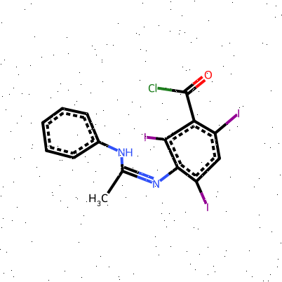 CC(=Nc1c(I)cc(I)c(C(=O)Cl)c1I)Nc1ccccc1